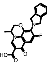 CC1COc2c(N3Cc4ccccc4C3)c(F)cc3c(=O)c(C(=O)O)cn1c23